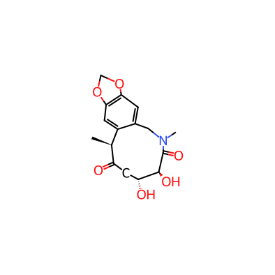 C[C@@H]1C(=O)C[C@@H](O)[C@H](O)C(=O)N(C)Cc2cc3c(cc21)OCO3